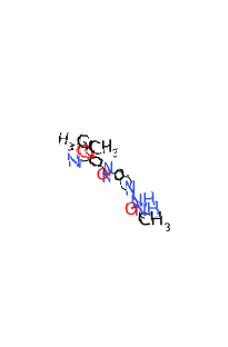 CCNC(=O)NCCN1CCc2ccc(-c3noc(-c4ccc(OC(C)C)c(C#N)c4)n3)cc2CC1